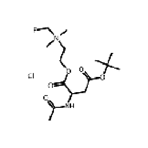 CC(=O)NC(CC(=O)OC(C)(C)C)C(=O)OCC[N+](C)(C)CF.[Cl-]